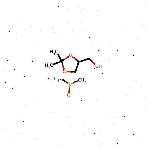 CC1(C)OCC(CO)O1.C[S+](C)[O-]